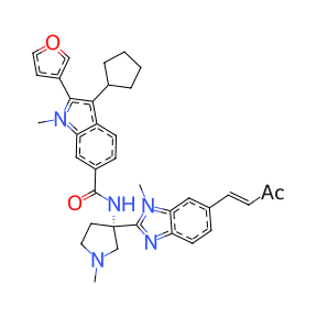 CC(=O)/C=C/c1ccc2nc([C@]3(NC(=O)c4ccc5c(C6CCCC6)c(-c6ccoc6)n(C)c5c4)CCN(C)C3)n(C)c2c1